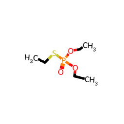 CCOP(=O)(OCC)SCC